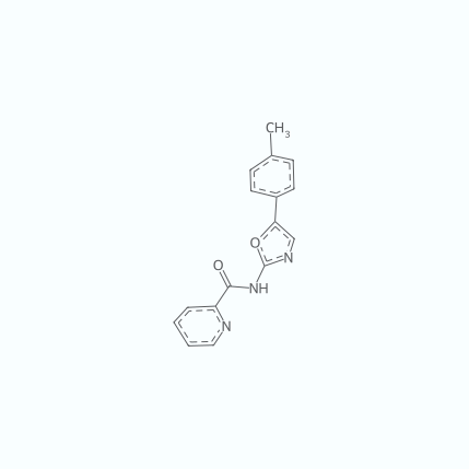 Cc1ccc(-c2cnc(NC(=O)c3ccccn3)o2)cc1